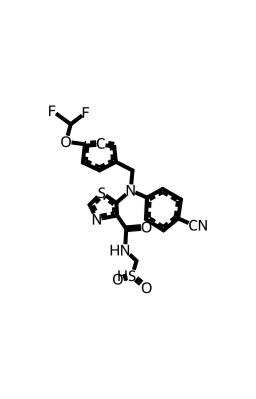 N#Cc1ccc(N(Cc2ccc(OC(F)F)cc2)c2scnc2C(=O)NC[SH](=O)=O)cc1